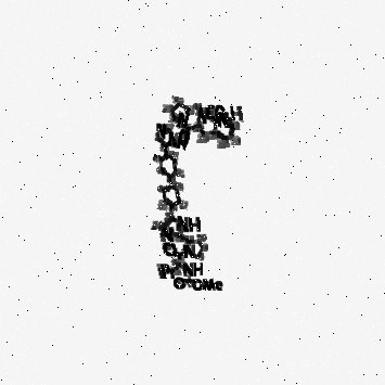 COC(=O)N[C@H](C(=O)N1CCCC1c1ncc(-c2ccc(-c3ccc(-c4cnc([C@@H]5CCCN5C(=O)[C@H](Cc5cccnc5)N(C)C(=O)O)[nH]4)cc3)cc2)[nH]1)C(C)C